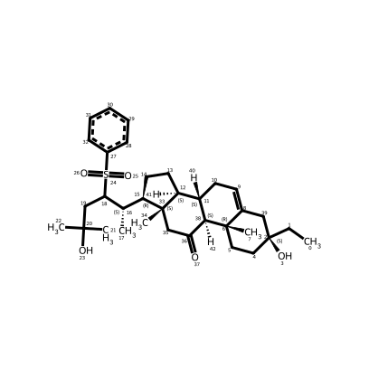 CC[C@]1(O)CC[C@@]2(C)C(=CC[C@H]3[C@@H]4CC[C@H]([C@H](C)C(CC(C)(C)O)S(=O)(=O)c5ccccc5)[C@@]4(C)CC(=O)[C@@H]32)C1